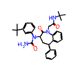 CC(C)(C)NC(=O)CN1C(=O)C(N(C(N)=O)c2cccc(C(C)(C)C)c2)CC(c2ccccc2)c2ccccc21